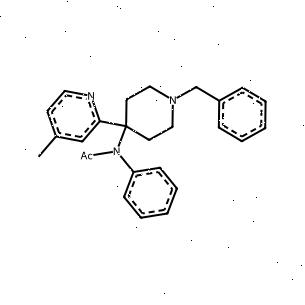 CC(=O)N(c1ccccc1)C1(c2cc(C)ccn2)CCN(Cc2ccccc2)CC1